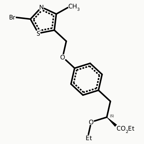 CCOC(=O)[C@H](Cc1ccc(OCc2sc(Br)nc2C)cc1)OCC